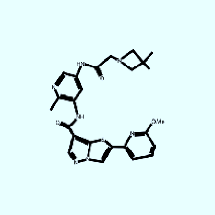 COc1cccc(-c2cn3ncc(C(=O)Nc4cc(NC(=O)CN5CC(C)(C)C5)cnc4C)c3s2)n1